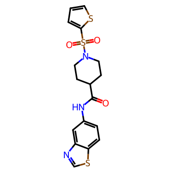 O=C(Nc1ccc2scnc2c1)C1CCN(S(=O)(=O)c2cccs2)CC1